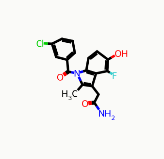 Cc1c(CC(N)=O)c2c(F)c(O)ccc2n1C(=O)c1cccc(Cl)c1